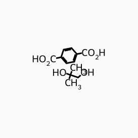 CC(C)(O)CO.O=C(O)c1ccc(C(=O)O)cc1